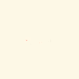 CCCCCCCOCCCCCCC/C=C\CCCC(=O)O